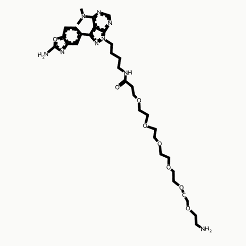 CN(C)c1ncnc2c1c(-c1ccc3oc(N)nc3c1)nn2CCCCNC(=O)CCOCCOCCOCCOCCOCCOCCN